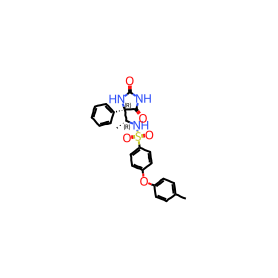 Cc1ccc(Oc2ccc(S(=O)(=O)N[C@H](C)[C@@]3(c4ccccc4)NC(=O)NC3=O)cc2)cc1